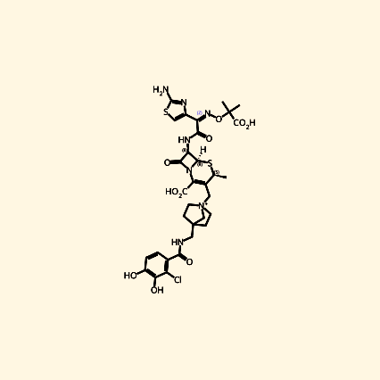 C[C@@H]1S[C@@H]2[C@H](NC(=O)/C(=N\OC(C)(C)C(=O)O)c3csc(N)n3)C(=O)N2C(C(=O)O)=C1C[N+]12CCC(CNC(=O)c3ccc(O)c(O)c3Cl)(CC1)C2